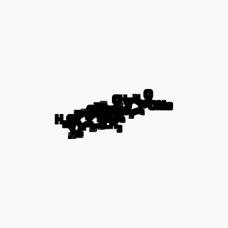 COC(=O)c1ccc(C2=CCC3(C)C(CCC4(C)C3CCC3C5CCCC5(C)CC[C@]34C)C2C)cc1